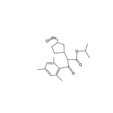 Cc1cc(C)c(C(=O)C(C(=O)OC(C)C)C2CCCC2)c(C)c1.O=[PH3]